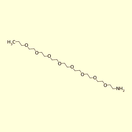 CCCOCCOCCOCCOCCOCCOCCOCCOCCN